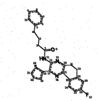 O=C(CCCc1ccccc1)Nc1nc2c(nc1-c1cccs1)-c1ccc(F)cc1CC2